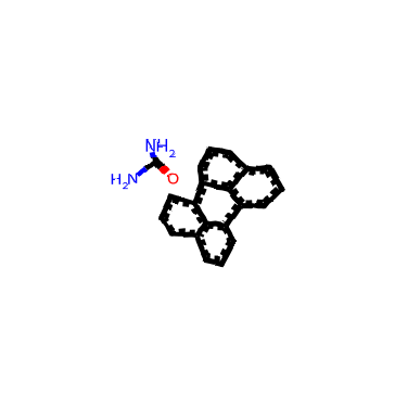 NC(N)=O.c1cc2cccc3c4cccc5cccc(c(c1)c23)c54